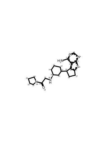 Nc1ncnc2sc3c(c12)C(C1CCC[C@H](NCC(=O)N2CCCC2)C1)CC3